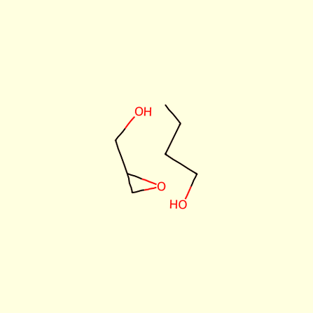 CCCCO.OCC1CO1